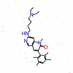 CCN(CC)CCCCNc1cc2c(cn1)cc(-c1c(C)c(C)cc(C)c1C)c(=O)n2C